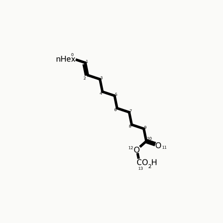 CCCCCCC=CCCCCCCCC(=O)OC(=O)O